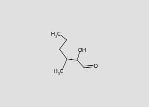 CCCC(C)C(O)C=O